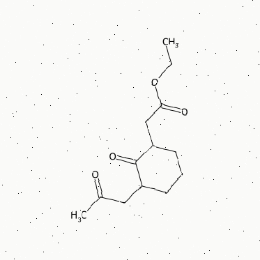 CCOC(=O)CC1CCCC(CC(C)=O)C1=O